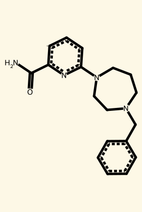 NC(=O)c1[c]ccc(N2CCCN(Cc3ccccc3)CC2)n1